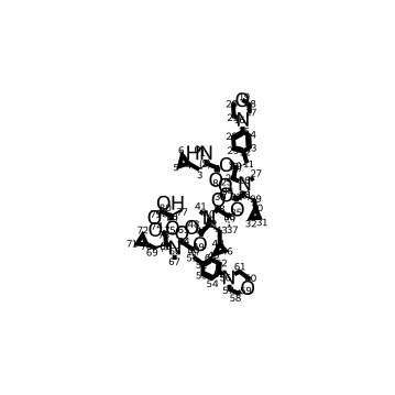 CN[C@@H](CC1CC1)C(=O)O[C@H](Cc1ccc(N2CCOCC2)cc1)C(=O)N(C)[C@@H](CC1CC1)C(=O)O[C@H](C)C(=O)N(C)[C@@H](CC1CC1)C(=O)O[C@H](Cc1ccc(N2CCOCC2)cc1)C(=O)N(C)[C@@H](CC1CC1)C(=O)O[C@H](C)C(=O)O